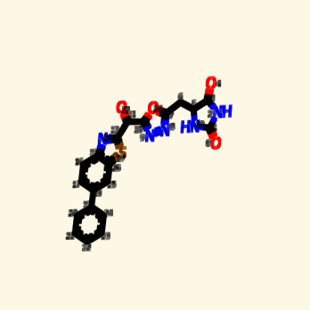 O=C1NC(=O)C(Cc2nnc(C(=O)c3nc4ccc(-c5ccccc5)cc4s3)o2)N1